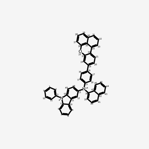 c1ccc(-n2c3ccccc3c3cc(N(c4ccc(-c5ccc6c(c5)Oc5cccc7cccc-6c57)cc4)c4cccc5ccccc45)ccc32)cc1